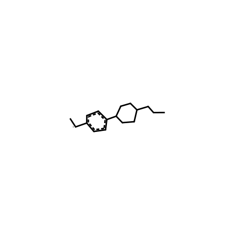 C[CH]c1ccc(C2CCC(CCC)CC2)cc1